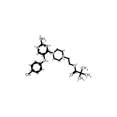 CC(C)(C)C(=O)OCCN1CCN(c2nc(N)ncc2Oc2ccc(Cl)cc2)CC1